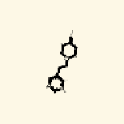 O=C1CCN(CCc2cncnc2)CC1